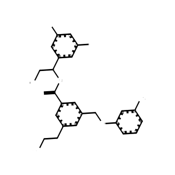 Cc1cc(C)cc(C(CC(C)C)NC(=O)c2cc(CCC=O)cc(COc3cccc(C#N)c3)c2)c1